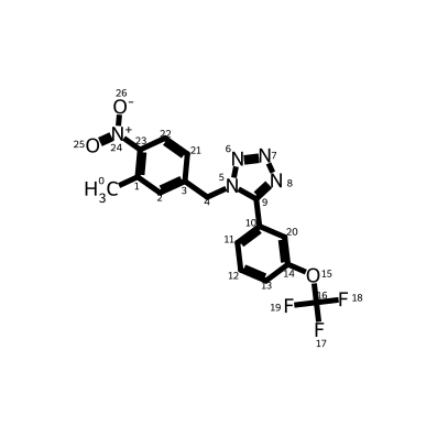 Cc1cc(Cn2nnnc2-c2cccc(OC(F)(F)F)c2)ccc1[N+](=O)[O-]